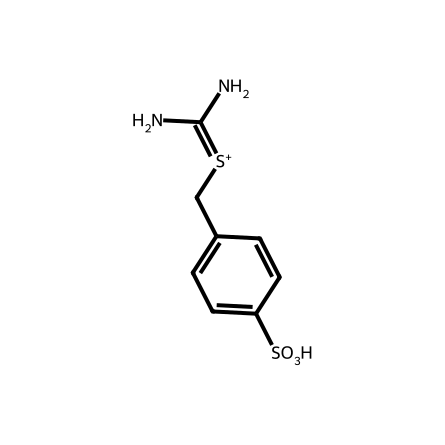 NC(N)=[S+]Cc1ccc(S(=O)(=O)O)cc1